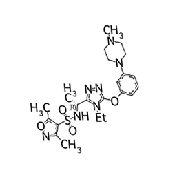 CCn1c(Oc2cccc(N3CCN(C)CC3)c2)nnc1[C@@H](C)NS(=O)(=O)c1c(C)noc1C